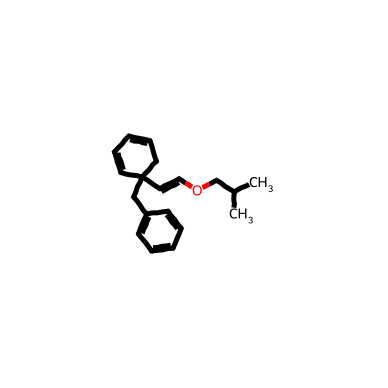 CC(C)COC=CC1(Cc2ccccc2)C=CC=CC1